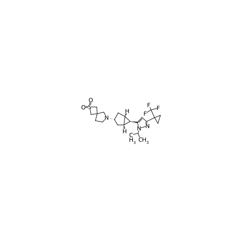 CC(C)n1nc(C2(C(F)(F)F)CC2)cc1[C@H]1[C@@H]2C[C@H](N3CCC4(C3)CS(=O)(=O)C4)C[C@@H]21